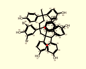 CC(CCC(CC(c1ccc(O)cc1)(c1ccc(O)cc1)C(c1ccc(O)cc1)c1ccc(O)cc1)(c1cc(Br)c(O)c(Br)c1)c1cc(Br)c(O)c(Br)c1)(c1ccc(O)cc1)c1ccc(O)cc1